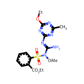 CCOC(=O)c1ccccc1S(=O)(=O)N(OC)C(N)=Nc1nc(C)nc(OCC)n1